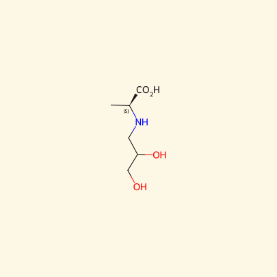 C[C@H](NCC(O)CO)C(=O)O